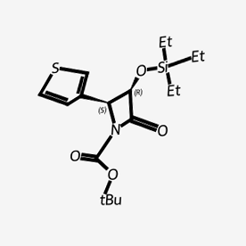 CC[Si](CC)(CC)O[C@H]1C(=O)N(C(=O)OC(C)(C)C)[C@H]1c1ccsc1